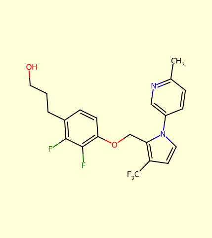 Cc1ccc(-n2ccc(C(F)(F)F)c2COc2ccc(CCCO)c(F)c2F)cn1